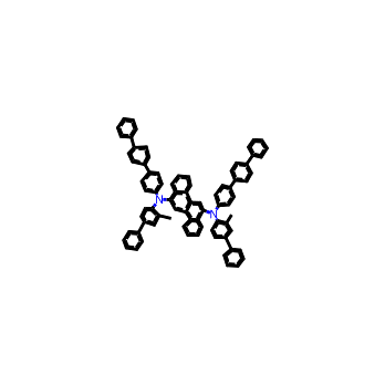 Cc1cc(-c2ccccc2)ccc1N(c1ccc(-c2ccc(-c3ccccc3)cc2)cc1)c1cc2c3ccccc3c(N(c3ccc(-c4ccc(-c5ccccc5)cc4)cc3)c3ccc(-c4ccccc4)cc3C)cc2c2ccccc12